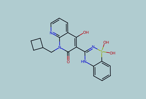 O=c1c(C2=NS(O)(O)c3ccccc3N2)c(O)c2cccnc2n1CC1CCC1